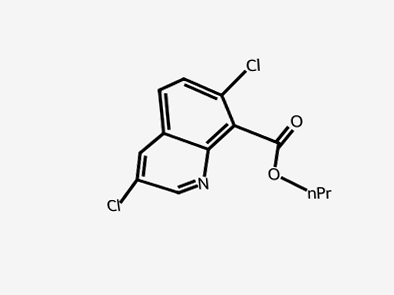 CCCOC(=O)c1c(Cl)ccc2cc(Cl)cnc12